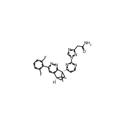 CC1(C)[C@H]2CC[C@]1(c1ccnc(-n3cnc(CC(N)=O)n3)n1)c1nnc(-c3c(F)cccc3F)cc12